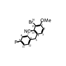 COc1ccc(Cc2ccc(F)cc2)c(C#N)c1Br